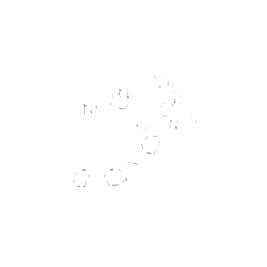 Cc1c(/C=C/c2ccc(CN3CCCC[C@H]3C(=O)OC(C)(C)C)c(OCc3cncc(C#N)c3)c2)cccc1-c1ccccc1